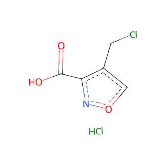 Cl.O=C(O)c1nocc1CCl